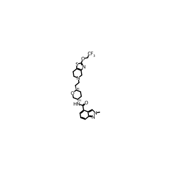 Cn1cc2c(C(=O)N[C@H]3CC[C@H](CCN4CCc5sc(OCC(F)(F)F)nc5C4)OC3)cccc2n1